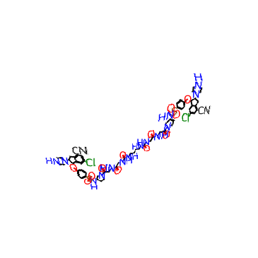 N#Cc1cc(Cl)cc2c1C[C@H](N1CCNCC1)[C@H]2Oc1ccc(S(=O)(=O)N[C@@H]2CCN(C(=O)CNC(=O)CNC(=O)NCCCCNC(=O)NCC(=O)NCC(=O)N3CC[C@@H](NS(=O)(=O)c4ccc(O[C@H]5c6cc(Cl)cc(C#N)c6C[C@@H]5N5CCNCC5)cc4)C3)C2)cc1